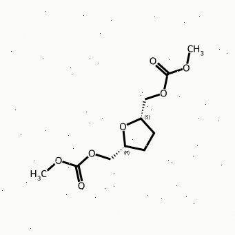 COC(=O)OC[C@H]1CC[C@@H](COC(=O)OC)O1